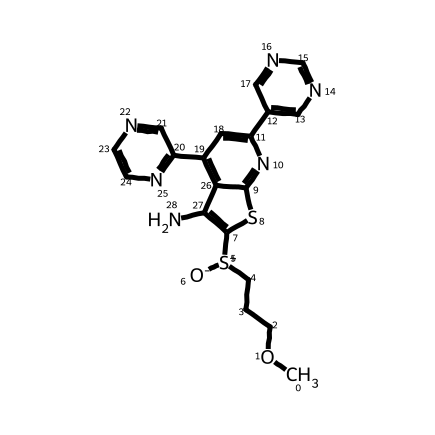 COCCC[S+]([O-])c1sc2nc(-c3cncnc3)cc(-c3cnccn3)c2c1N